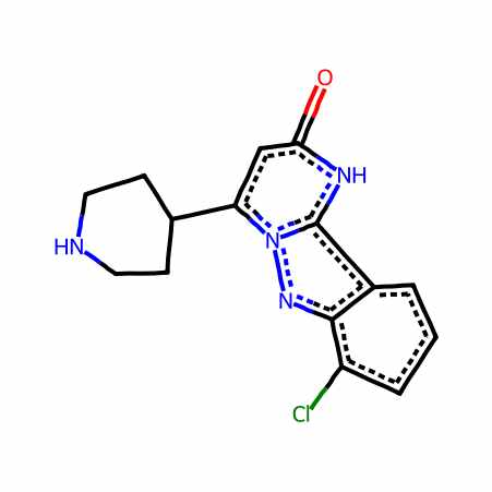 O=c1cc(C2CCNCC2)n2nc3c(Cl)cccc3c2[nH]1